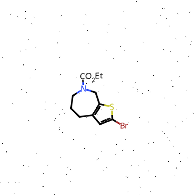 CCOC(=O)N1CCCc2cc(Br)sc2C1